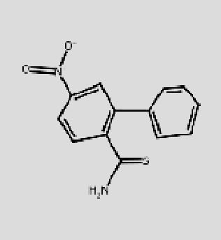 NC(=S)c1ccc([N+](=O)[O-])cc1-c1ccccc1